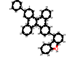 c1ccc(-c2ccc3c(c2)c2ccccc2c2c4ccc(-c5cccc6oc7ccccc7c56)cc4c4ccccc4c32)cc1